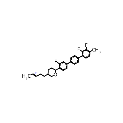 C/C=C/CCC1CCC(c2ccc(-c3ccc(-c4ccc(C)c(F)c4F)cc3)cc2F)OC1